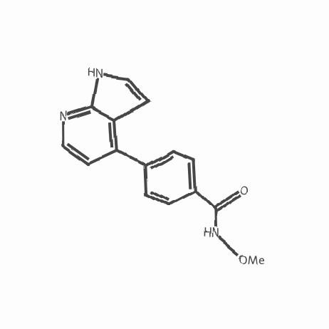 CONC(=O)c1ccc(-c2ccnc3[nH]ccc23)cc1